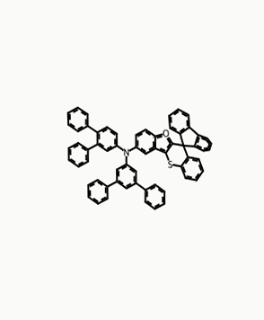 c1ccc(-c2cc(-c3ccccc3)cc(N(c3ccc(-c4ccccc4)c(-c4ccccc4)c3)c3ccc4oc5c(c4c3)Sc3ccccc3C53c4ccccc4-c4ccccc43)c2)cc1